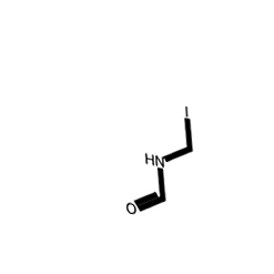 O=CNCI